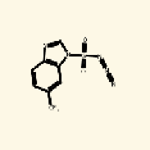 [N-]=[N+]=NS(=O)(=O)n1cnc2ccc(C(F)(F)F)cc21